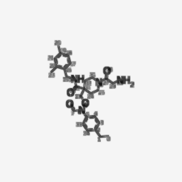 CCc1ccc(N(C=O)OCC2(C(=O)NCc3ccc(C)cc3C)CCN(C(=O)CN)CC2)cc1